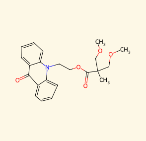 COCC(C)(COC)C(=O)OCCn1c2ccccc2c(=O)c2ccccc21